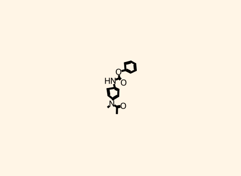 CC(=O)N(C)c1ccc(NC(=O)Oc2ccccc2)cc1